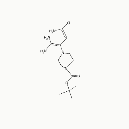 CC(C)(C)OC(=O)N1CCN(C(/C=C(\N)Cl)=C(N)N)CC1